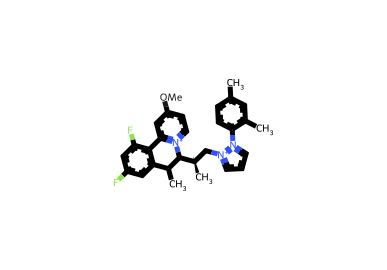 COc1cc[n+]2c(c1)-c1c(F)cc(F)cc1C(C)C2[C@H](C)C[n+]1cccn1-c1ccc(C)cc1C